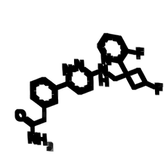 NC(=O)Cc1cccc(-c2ccc(NCC3(c4ncccc4F)CC(F)C3)nn2)c1